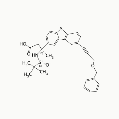 CC(C)(C)[S@@+]([O-])N[C@@](C)(CC(=O)O)c1ccc2sc3ccc(C#CCOCc4ccccc4)cc3c2c1